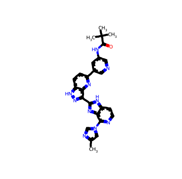 Cc1cn(-c2nccc3[nH]c(-c4n[nH]c5ccc(-c6cncc(NC(=O)C(C)(C)C)c6)nc45)nc23)cn1